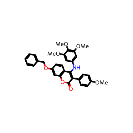 COc1ccc(-c2c(Nc3cc(OC)c(OC)c(OC)c3)c3ccc(OCc4ccccc4)cc3oc2=O)cc1